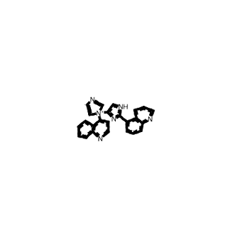 [C]1=C[N+](c2c[nH]c(-c3cccc4ncccc34)n2)(c2ccnc3ccccc23)C=N1